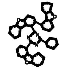 c1ccc(-c2nc(-c3cccc4oc5ccccc5c34)nc(-c3c(-c4cccc5oc6ccccc6c45)ccc4oc5ccccc5c34)n2)cc1